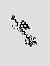 CCNCCCC(C)N(C(=O)OCCCCCC(=O)NC(P(=O)(O)O)P(=O)(O)O)c1ccnc2cc(Cl)ccc12